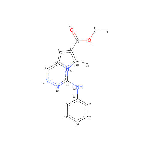 CCOC(=O)c1cc2cnnc(Nc3ccccc3)n2c1C